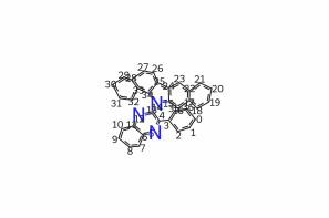 c1ccc(-c2nc3ccccc3nc2-n2c3cc4ccccc4cc3c3ccc4ccccc4c32)cc1